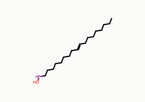 CCCCCCCCC=CCCCCCCCCPO